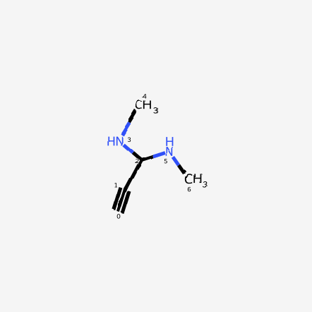 [C]#CC(NC)NC